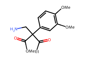 CCC(=O)C(CN)(C(=O)OC)c1ccc(OC)c(OC)c1